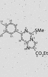 CCOC(=O)c1cn2c(SC)nc(-c3ccc(C)c(C)c3)cc2n1